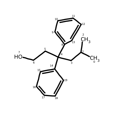 CC(C)CC(CCO)(c1ccccc1)c1ccccc1